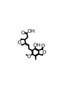 COc1c(C)c2c(c(O)c1C/C=C1\COCC1CC(=O)O)C(=O)OC2